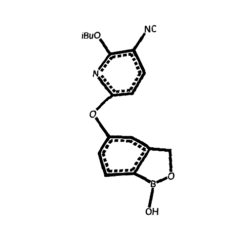 [C-]#[N+]c1ccc(Oc2ccc3c(c2)COB3O)nc1OCC(C)C